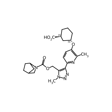 Cc1nc(-c2nnn(C)c2COC(=O)N2CC3CCC2C3)ccc1O[C@H]1CCC[C@H](C(=O)O)C1